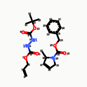 C=CCOC(=O)NNC(=O)OC(C)(C)C.CC1C=CCN1C(=O)OCc1ccccc1